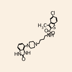 Cc1c(S(=O)(=O)NCCCCN2CCN(c3cccc4[nH]c(=O)[nH]c34)CC2)sc2ccc(Cl)cc12